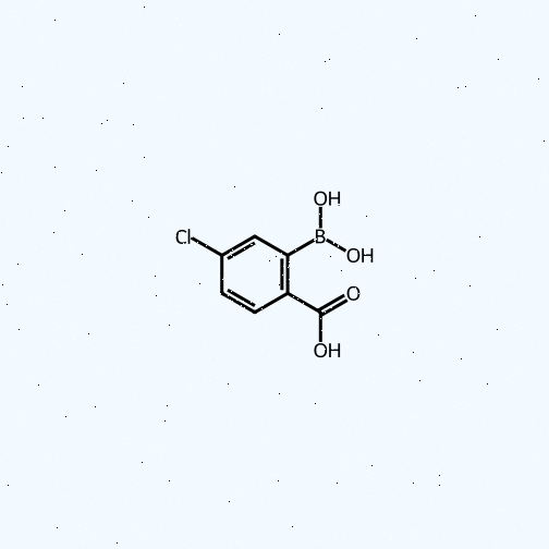 O=C(O)c1ccc(Cl)cc1B(O)O